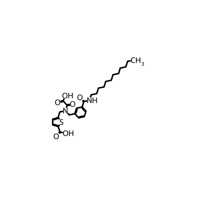 CCCCCCCCCCCCNC(=O)c1cccc(CN(Cc2ccc(C(=O)O)s2)C(=O)C(=O)O)c1